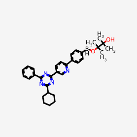 CC(C)(O)C(C)(C)OBc1ccc(-c2ccc(-c3nc(-c4ccccc4)nc(C4CCCCC4)n3)cn2)cc1